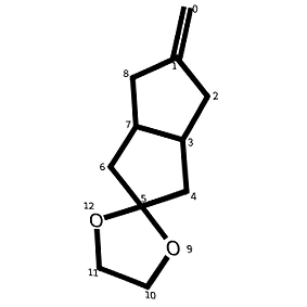 C=C1CC2CC3(CC2C1)OCCO3